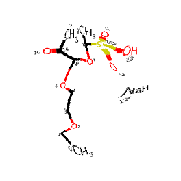 CCOCCOC(OC(C)S(=O)(=O)O)C(C)=O.[NaH]